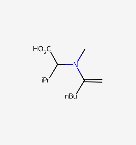 C=C(CCCC)N(C)C(C(=O)O)C(C)C